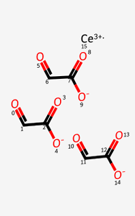 O=CC(=O)[O-].O=CC(=O)[O-].O=CC(=O)[O-].[Ce+3]